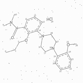 CCCOc1c(C(=O)N(C)C)cccc1N1CCN(c2ccccc2OC)CC1.Cl